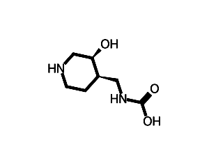 O=C(O)NC[C@H]1CCNC[C@H]1O